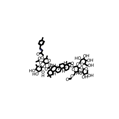 CC(=O)OC1C(OCC(=O)/C=C/c2ccc(C)cc2)C(C)OC(OC(=O)[C@]23CCC(C)(C)C[C@H]2C2CC[C@@H]4[C@@]5(C)CC[C@H](OC6OC(COC=O)C(O)C(OC7OCC(O)C(O)C7O)C6OC6OC(CO)C(O)C(O)C6O)[C@@](C)(C=O)[C@@H]5CC[C@@]4(C)[C@]2(C)C[C@H]3O)C1OC1OC(C)C(O)C(O)C1O